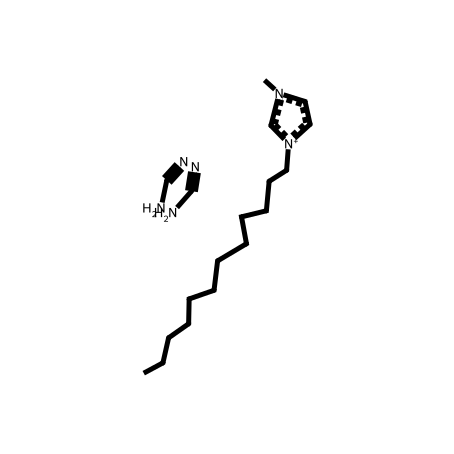 CCCCCCCCCCCC[n+]1ccn(C)c1.N#CN.N#CN